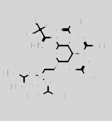 CC(=O)O[C@H]1[C@H](OC(C)=O)[C@@H](CCP(=O)(OC(C)C)OC(C)C)OC(OC(=N)C(Cl)(Cl)Cl)[C@H]1OC(C)=O